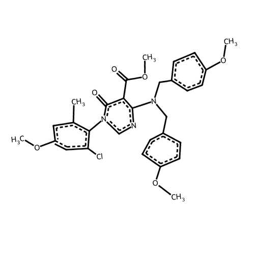 COC(=O)c1c(N(Cc2ccc(OC)cc2)Cc2ccc(OC)cc2)ncn(-c2c(C)cc(OC)cc2Cl)c1=O